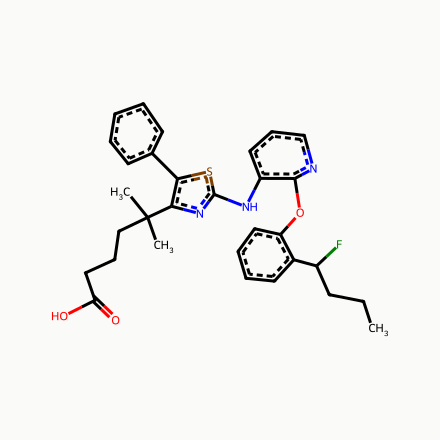 CCCC(F)c1ccccc1Oc1ncccc1Nc1nc(C(C)(C)CCCC(=O)O)c(-c2ccccc2)s1